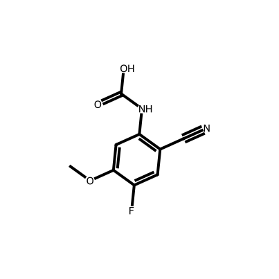 COc1cc(NC(=O)O)c(C#N)cc1F